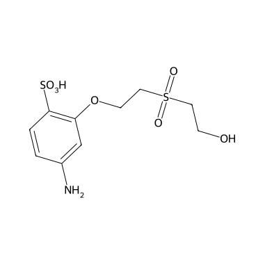 Nc1ccc(S(=O)(=O)O)c(OCCS(=O)(=O)CCO)c1